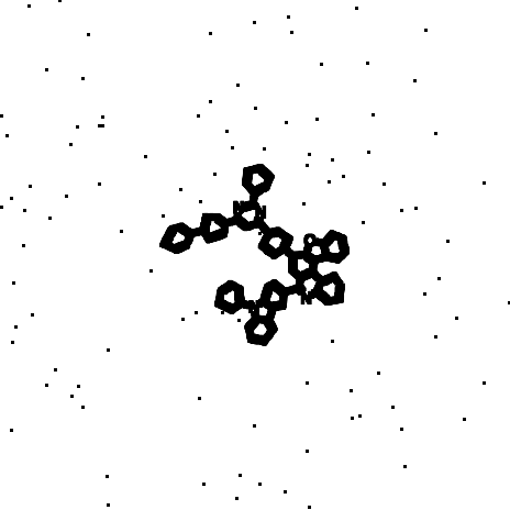 c1ccc(-c2ccc(-c3cc(-c4ccc(-c5cc6c(-c7ccc8c(c7)c7ccccc7n8-c7ccccc7)nc7ccccc7c6c6c5oc5ccccc56)cc4)nc(-c4ccccc4)n3)cc2)cc1